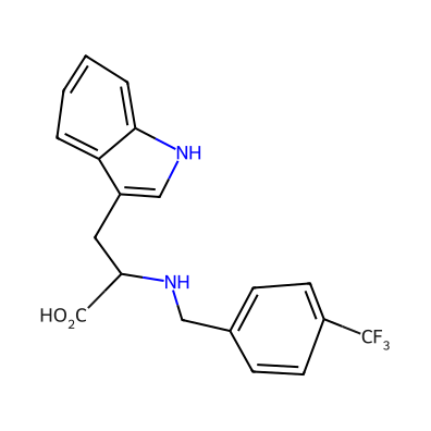 O=C(O)C(Cc1c[nH]c2ccccc12)NCc1ccc(C(F)(F)F)cc1